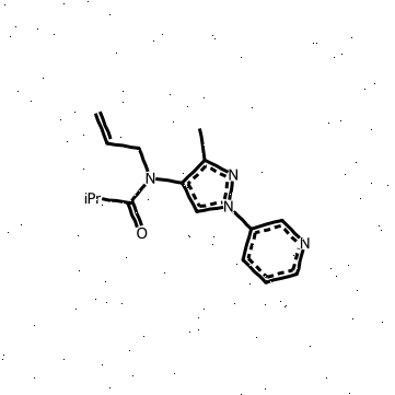 C=CCN(C(=O)C(C)C)c1cn(-c2cccnc2)nc1C